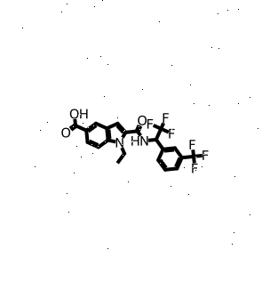 CCn1c(C(=O)NC(c2cccc(C(F)(F)F)c2)C(F)(F)F)cc2cc(C(=O)O)ccc21